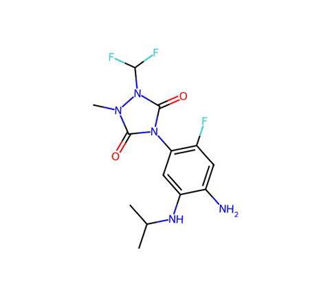 CC(C)Nc1cc(-n2c(=O)n(C)n(C(F)F)c2=O)c(F)cc1N